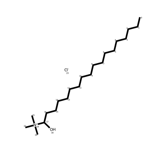 CCCCCCCCCCCCCCCCCC(O)[N+](C)(C)C.[Cl-]